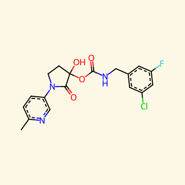 Cc1ccc(N2CCC(O)(OC(=O)NCc3cc(F)cc(Cl)c3)C2=O)cn1